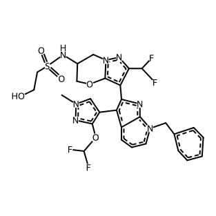 Cn1cc(-c2c3cccn(Cc4ccccc4)c-3nc2-c2c(C(F)F)nn3c2OCC(NS(=O)(=O)CCO)C3)c(OC(F)F)n1